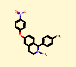 Cc1ccc(C2c3ccc(Oc4ccc([N+](=O)[O-])cc4)cc3CCN2C)cc1